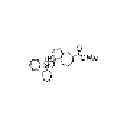 COC(=O)C1=Cc2cccc(O[Si](c3ccccc3)(c3ccccc3)C(C)(C)C)c2CCC1